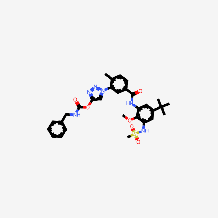 COc1c(NC(=O)c2ccc(C)c(-n3cc(OC(=O)NCc4ccccc4)nn3)c2)cc(C(C)(C)C)cc1NS(C)(=O)=O